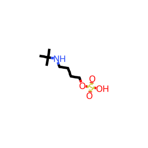 CC(C)(C)NCCCCOS(=O)(=O)O